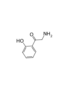 NCC(=O)c1ccccc1O